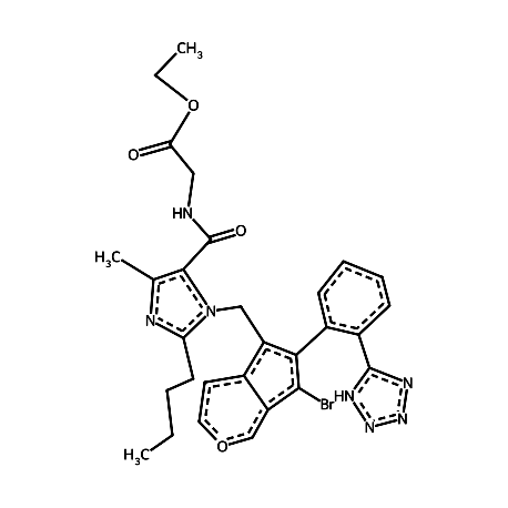 CCCCc1nc(C)c(C(=O)NCC(=O)OCC)n1Cc1c2ccocc-2c(Br)c1-c1ccccc1-c1nnn[nH]1